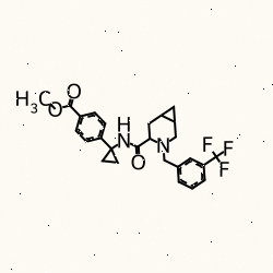 COC(=O)c1ccc(C2(NC(=O)C3CC4CC4CN3Cc3cccc(C(F)(F)F)c3)CC2)cc1